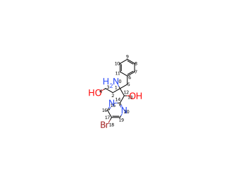 NC(CCO)(Cc1ccccc1)C(O)c1ncc(Br)cn1